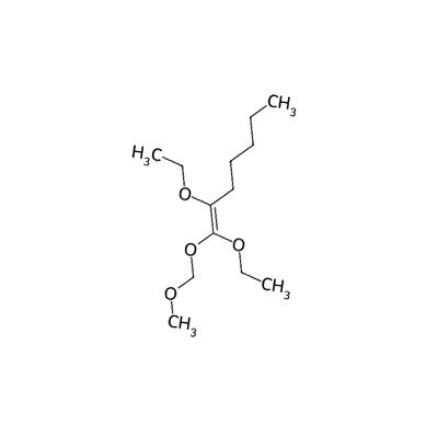 CCCCC/C(OCC)=C(\OCC)OCOC